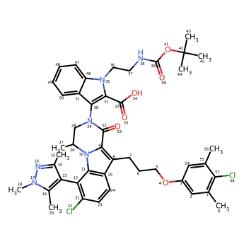 Cc1cc(OCCCc2c3n(c4c(-c5c(C)nn(C)c5C)c(Cl)ccc24)C(C)CN(c2c(C(=O)O)n(CCNC(=O)OC(C)(C)C)c4ccccc24)C3=O)cc(C)c1Cl